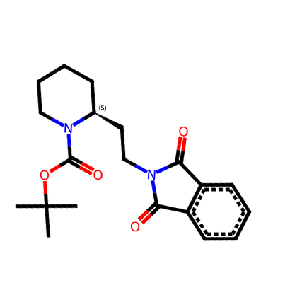 CC(C)(C)OC(=O)N1CCCC[C@H]1CCN1C(=O)c2ccccc2C1=O